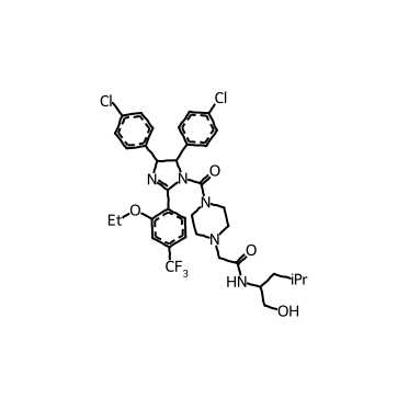 CCOc1cc(C(F)(F)F)ccc1C1=NC(c2ccc(Cl)cc2)C(c2ccc(Cl)cc2)N1C(=O)N1CCN(CC(=O)NC(CO)CC(C)C)CC1